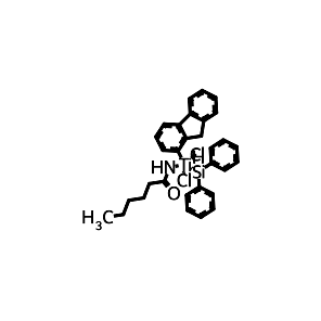 CCCCCC(=O)[NH][Ti]([Cl])([Cl])([c]1cccc2c1Cc1ccccc1-2)[SiH](c1ccccc1)c1ccccc1